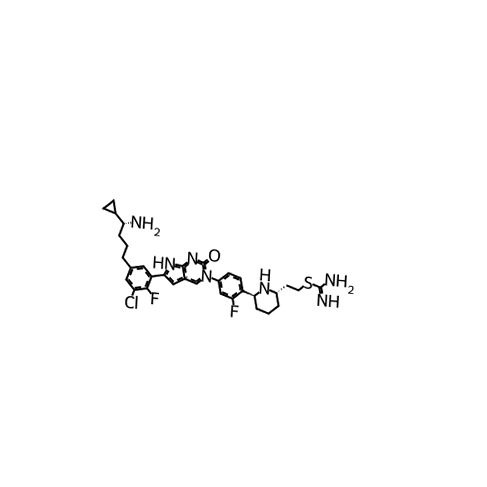 N=C(N)SCC[C@@H]1CCC[C@@H](c2ccc(-n3cc4cc(-c5cc(CCC[C@@H](N)C6CC6)cc(Cl)c5F)[nH]c4nc3=O)cc2F)N1